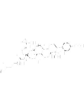 CC(C)C(C)CCNC(=O)N[C@]12CC[C@@H](C3(C)CC3)C1[C@H]1CCC3[C@@]4(C)CC=C(c5ccc(C(=O)O)cc5)C(C)(C)[C@@H]4CC[C@@]3(C)[C@]1(C)CC2